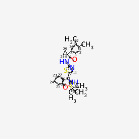 Cc1ccc(C2(C(=O)Nc3ncc([C@H](N[S@@+]([O-])C(C)(C)C)c4ccccc4)s3)CC2)cc1C